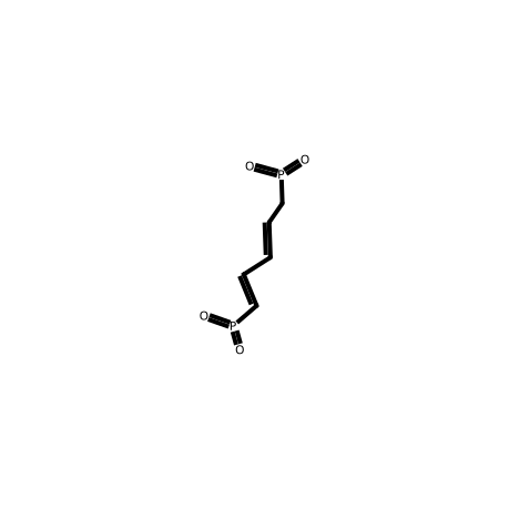 O=P(=O)C=CC=CCP(=O)=O